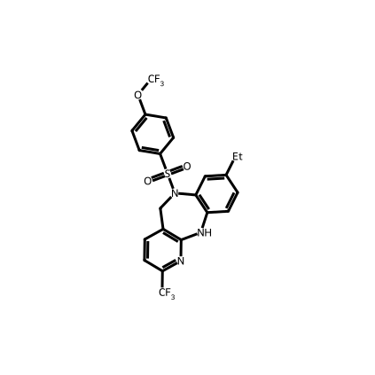 CCc1ccc2c(c1)N(S(=O)(=O)c1ccc(OC(F)(F)F)cc1)Cc1ccc(C(F)(F)F)nc1N2